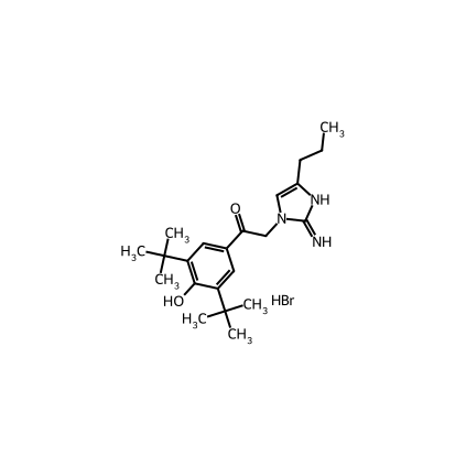 Br.CCCc1cn(CC(=O)c2cc(C(C)(C)C)c(O)c(C(C)(C)C)c2)c(=N)[nH]1